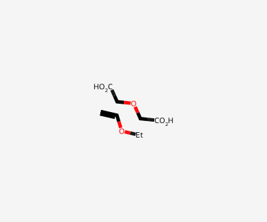 C=COCC.O=C(O)COCC(=O)O